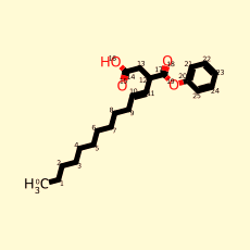 CCCCCCCCCCC=CC(CC(=O)O)C(=O)Oc1ccccc1